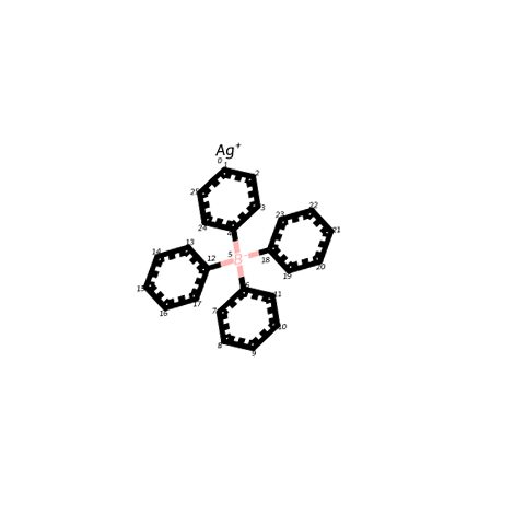 [Ag+].c1ccc([B-](c2ccccc2)(c2ccccc2)c2ccccc2)cc1